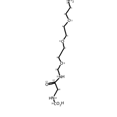 NCCOCCOCCOCNC(=O)CNC(=O)O